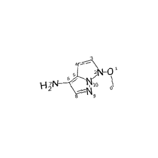 COn1ccc2c(N)cnn21